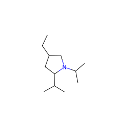 CCC1CC(C(C)C)N(C(C)C)C1